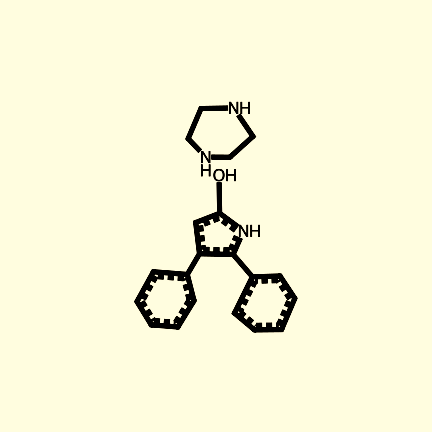 C1CNCCN1.Oc1cc(-c2ccccc2)c(-c2ccccc2)[nH]1